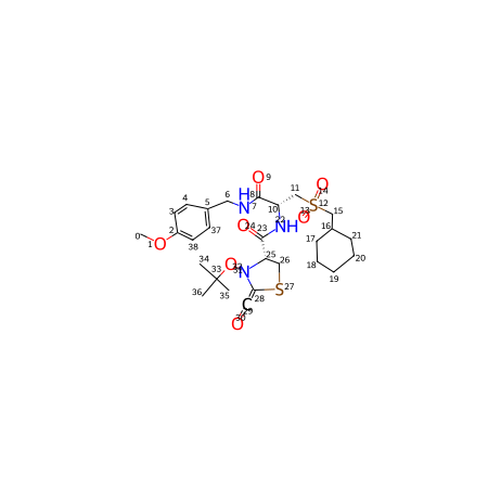 COc1ccc(CNC(=O)[C@H](CS(=O)(=O)CC2CCCCC2)NC(=O)[C@@H]2CSC(=C=O)N2OC(C)(C)C)cc1